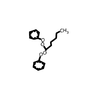 CCCCCC(OOc1ccccc1)OOc1ccccc1